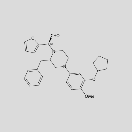 COc1ccc(N2CCN([C@H](C=O)c3ccco3)C(Cc3ccccc3)C2)cc1OC1CCCC1